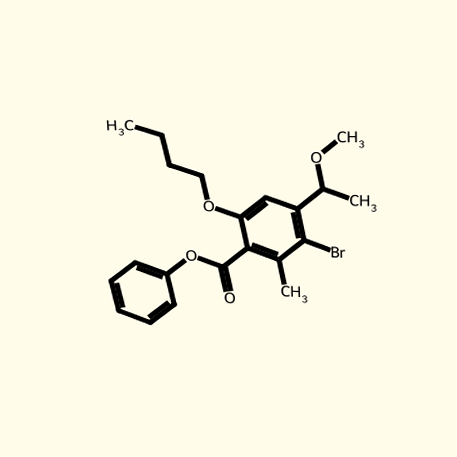 CCCCOc1cc(C(C)OC)c(Br)c(C)c1C(=O)Oc1ccccc1